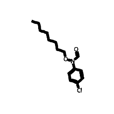 CCCCCCCCON(C=O)c1ccc(Cl)cc1